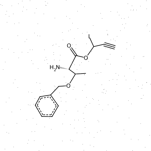 C#CC(I)OC(=O)[C@@H](N)C(C)OCc1ccccc1